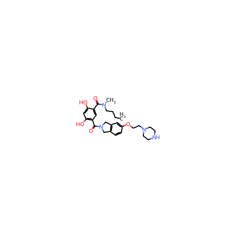 CCCCN(C)C(=O)c1cc(C(=O)N2Cc3ccc(OCCN4CCNCC4)cc3C2)c(O)cc1O